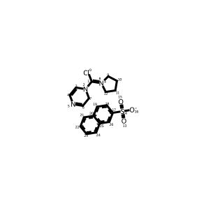 ClC(N1C=CN=CC1)=[N+]1CCCC1.O=S(=O)([O-])c1ccc2ccccc2c1